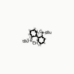 C[P@@](c1ccccc1-c1ccccc1[P@](C)C(C)(C)C)C(C)(C)C